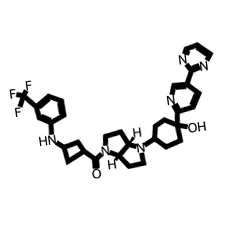 O=C(C1CC(Nc2cccc(C(F)(F)F)c2)C1)N1CC[C@H]2[C@@H]1CCN2C1CCC(O)(c2ccc(-c3ncccn3)cn2)CC1